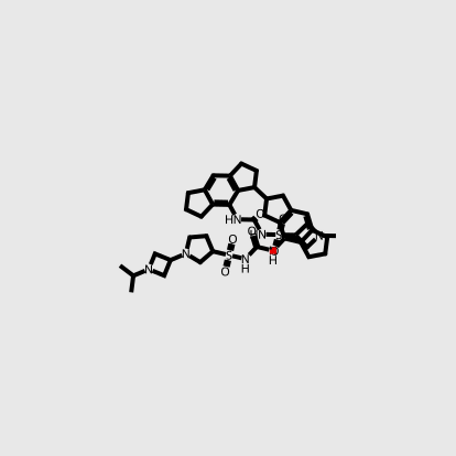 CC(C)N1CC(N2CCC(S(=O)(=O)NC(=O)Nc3c4c(cc5c3CC(C3CCc6cc7c(c(NC(=O)NS(=O)(=O)C8CN(C)C8)c63)CCC7)C5)CCC4)C2)C1